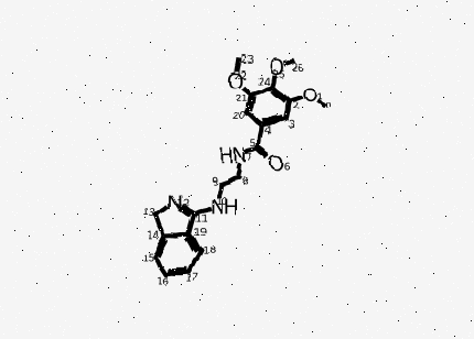 COc1cc(C(=O)NCCNC2=NCc3ccccc32)cc(OC)c1OC